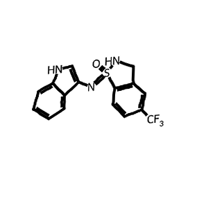 O=S1(=Nc2c[nH]c3ccccc23)NCc2cc(C(F)(F)F)ccc21